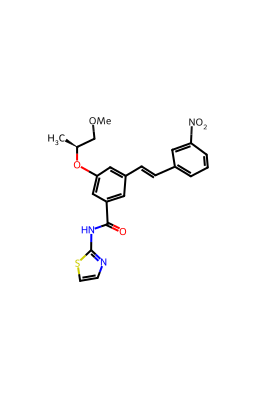 COC[C@H](C)Oc1cc(C=Cc2cccc([N+](=O)[O-])c2)cc(C(=O)Nc2nccs2)c1